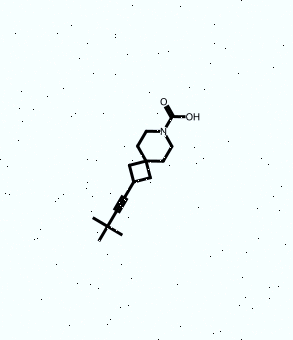 CC(C)(C)C#CC1CC2(CCN(C(=O)O)CC2)C1